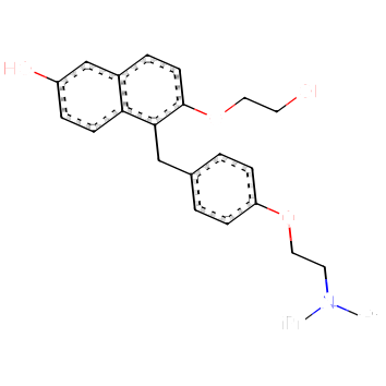 CC(C)N(CCOc1ccc(Cc2c(OCCO)ccc3cc(O)ccc23)cc1)C(C)C